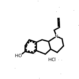 C=CCN1CCCC2Cc3cc(O)ccc3CC21.Cl